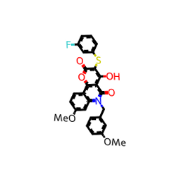 COc1cccc(Cn2c(=O)c3c(O)c(Sc4cccc(F)c4)c(=O)oc3c3ccc(OC)cc32)c1